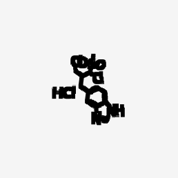 CS(=O)(=O)C(Cl)C(CCl)Cc1ccc2[nH]cnc2c1.Cl